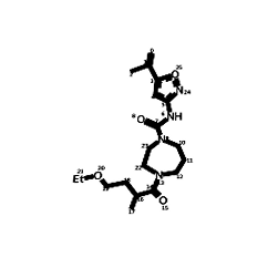 C=C(C)c1cc(NC(=O)N2CCCN(C(=O)C(C)CCOCC)CC2)no1